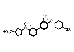 CN(c1cccc(-c2ccc(O[C@H]3CC[C@H](C(C)(C)C)CC3)c(C(F)(F)F)c2)c1)C1CCC(C(=O)O)C1